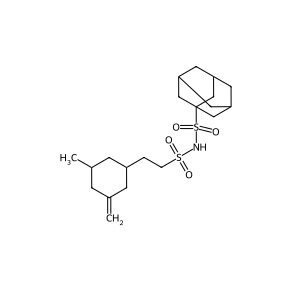 C=C1CC(C)CC(CCS(=O)(=O)NS(=O)(=O)C23CC4CC(CC(C4)C2)C3)C1